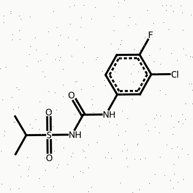 CC(C)S(=O)(=O)NC(=O)Nc1ccc(F)c(Cl)c1